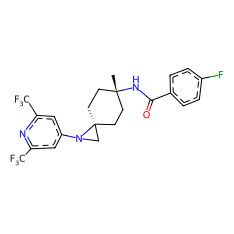 C[C@]1(NC(=O)c2ccc(F)cc2)CC[C@]2(CC1)CN2c1cc(C(F)(F)F)nc(C(F)(F)F)c1